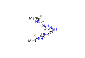 CNC(=S)NCCNCc1c[nH]nc1CNCCNC(=S)NC